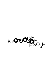 CCC(C)c1ccc(COc2ccc(Oc3c(F)c(F)c(S(=O)(=O)O)c(F)c3F)cc2)cc1